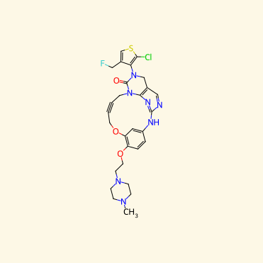 CN1CCN(CCOc2ccc3cc2OCC#CCN2C(=O)N(c4c(CF)csc4Cl)Cc4cnc(nc42)N3)CC1